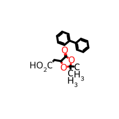 CC1(C)OC(=O)C(CC(=O)O)O1.c1ccc(-c2ccccc2)cc1